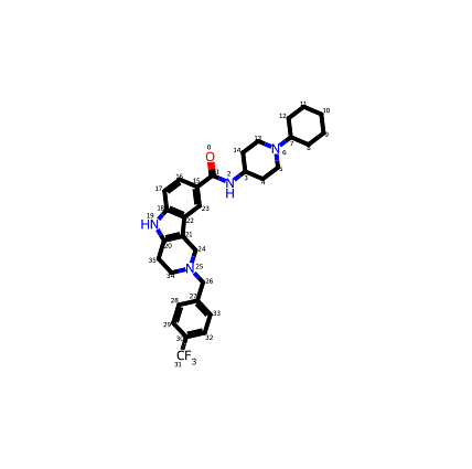 O=C(NC1CCN(C2CCCCC2)CC1)c1ccc2[nH]c3c(c2c1)CN(Cc1ccc(C(F)(F)F)cc1)CC3